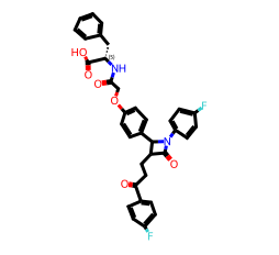 O=C(COc1ccc(C2C(CCC(=O)c3ccc(F)cc3)C(=O)N2c2ccc(F)cc2)cc1)N[C@@H](Cc1ccccc1)C(=O)O